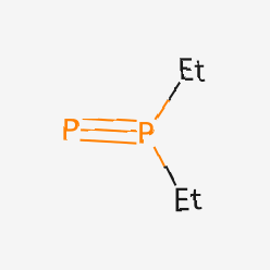 CCP(#P)CC